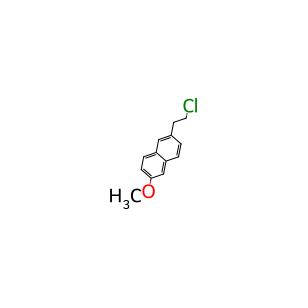 COc1ccc2cc(CCCl)ccc2c1